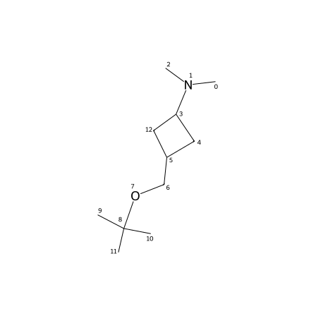 CN(C)C1CC(COC(C)(C)C)C1